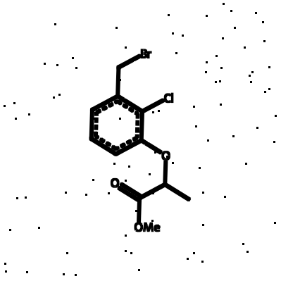 COC(=O)C(C)Oc1cccc(CBr)c1Cl